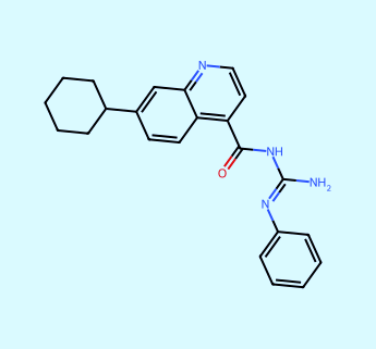 NC(=Nc1ccccc1)NC(=O)c1ccnc2cc(C3CCCCC3)ccc12